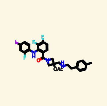 CC(=O)OC1(CNCCc2ccc(C)cc2)CN(C(=O)c2ccc(F)c(F)c2Nc2ccc(I)cc2F)C1